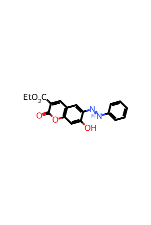 CCOC(=O)c1cc2cc(/N=N/c3ccccc3)c(O)cc2oc1=O